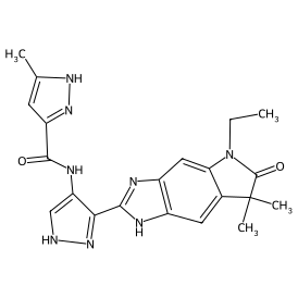 CCN1C(=O)C(C)(C)c2cc3[nH]c(-c4n[nH]cc4NC(=O)c4cc(C)[nH]n4)nc3cc21